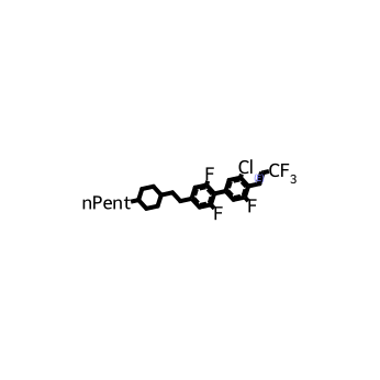 CCCCCC1CCC(CCc2cc(F)c(-c3cc(F)c(/C=C/C(F)(F)F)c(Cl)c3)c(F)c2)CC1